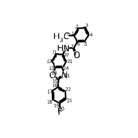 Cc1ccccc1C(=O)Nc1ccc2oc(-c3ccc(F)cc3)nc2c1